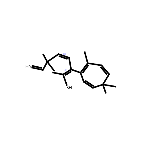 CC1=C(C(/C=C\C(C)(C)C=N)=C(/C)S)C=CC(C)(C)C=C1